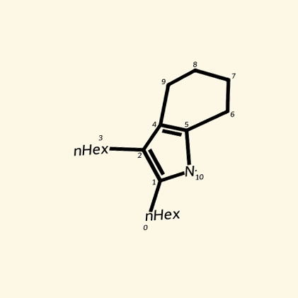 CCCCCCC1=C(CCCCCC)C2=C(CCCC2)[N]1